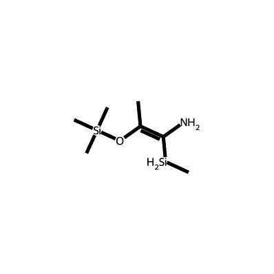 C[SiH2]C(N)=C(C)O[Si](C)(C)C